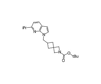 CC(C)c1ccc2ccn(CC3CC4(C3)CN(C(=O)OC(C)(C)C)C4)c2n1